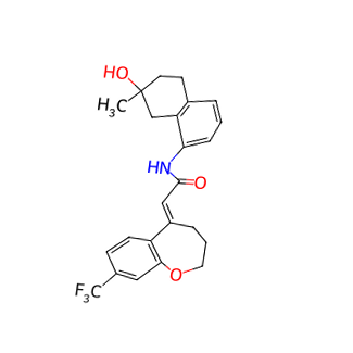 CC1(O)CCc2cccc(NC(=O)C=C3CCCOc4cc(C(F)(F)F)ccc43)c2C1